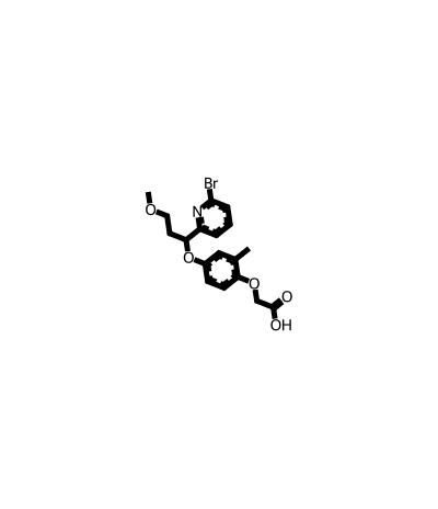 COCCC(Oc1ccc(OCC(=O)O)c(C)c1)c1cccc(Br)n1